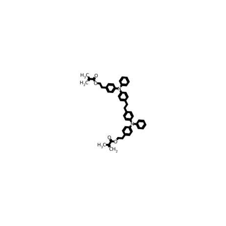 C=C(C)C(=O)OCCc1ccc(N(c2ccccc2)c2ccc(CCc3ccc(N(c4ccccc4)c4ccc(CCOC(=O)C(=C)C)cc4)cc3)cc2)cc1